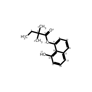 CCC(C)(C)C(=O)Oc1cccc2cccc(O)c12